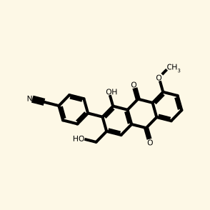 COc1cccc2c1C(=O)c1c(cc(CO)c(-c3ccc(C#N)cc3)c1O)C2=O